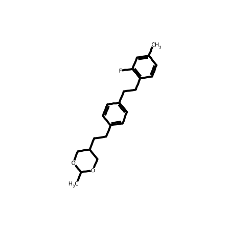 Cc1ccc(CCc2ccc(CCC3COC(C)OC3)cc2)c(F)c1